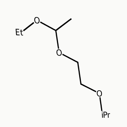 CCOC(C)OCCOC(C)C